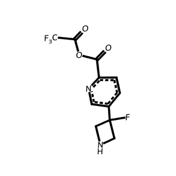 O=C(OC(=O)C(F)(F)F)c1ccc(C2(F)CNC2)cn1